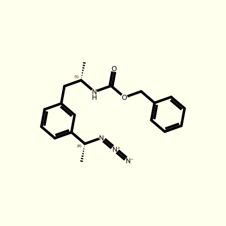 C[C@@H](Cc1cccc([C@@H](C)N=[N+]=[N-])c1)NC(=O)OCc1ccccc1